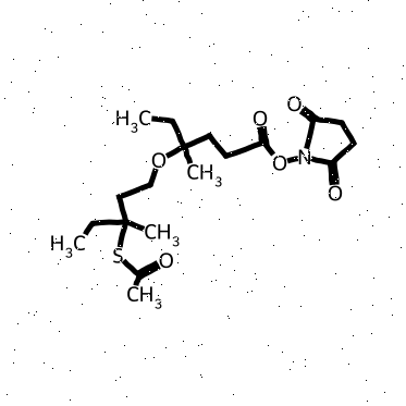 CCC(C)(CCC(=O)ON1C(=O)CCC1=O)OCCC(C)(CC)SC(C)=O